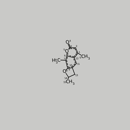 Cc1cc(=O)oc2c(C)c3c(cc12)CC(C)O3